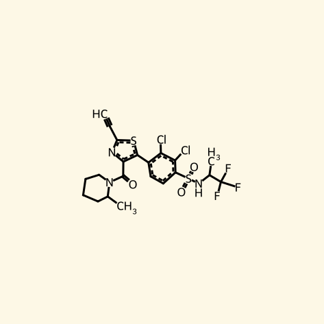 C#Cc1nc(C(=O)N2CCCCC2C)c(-c2ccc(S(=O)(=O)NC(C)C(F)(F)F)c(Cl)c2Cl)s1